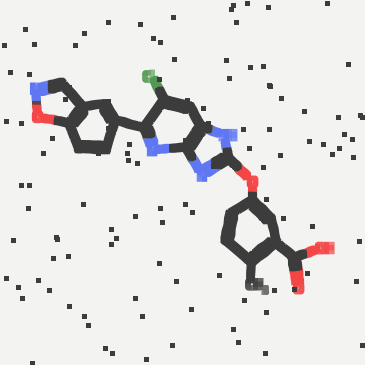 Cc1ccc(Oc2nc3nc(-c4ccc5oncc5c4)c(Cl)cc3[nH]2)cc1C(=O)O